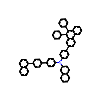 c1ccc(-c2c(-c3ccccc3)c3cc(-c4ccc(N(c5ccc(-c6ccc(-c7cccc8ccccc78)cc6)cc5)c5ccc6ccccc6c5)cc4)ccc3c3ccccc23)cc1